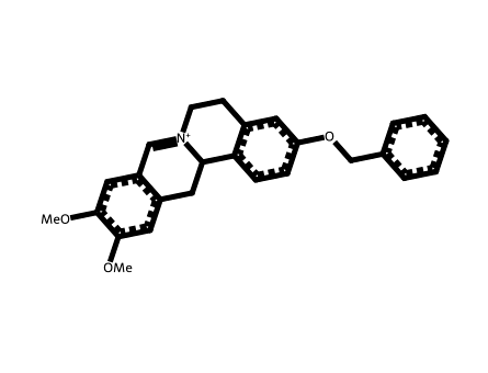 COc1cc2c(cc1OC)CC1c3ccc(OCc4ccccc4)cc3CC[N+]1=C2